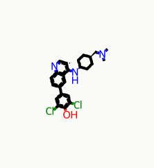 CN(C)C[C@H]1CC[C@H](Nc2[c]cnc3ccc(-c4cc(Cl)c(O)c(Cl)c4)cc23)CC1